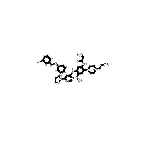 C=CC(=O)Nc1cc(Nc2cc(N3OCC[C@@H]3c3cccc(OCc4cccc(F)c4)c3)ncn2)c(OC)cc1N1CCN(CCC)CC1